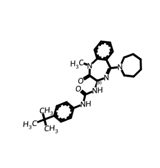 CN1C(=O)[C@H](NC(=O)Nc2ccc(C(C)(C)C)cc2)N=C(N2CCCCCC2)c2ccccc21